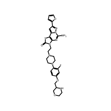 Nc1nc2c(sc(=O)n2CCN2CCN(c3ccc(OCC4COCCN4)cc3F)CC2)c2cc(-c3ccco3)nn12